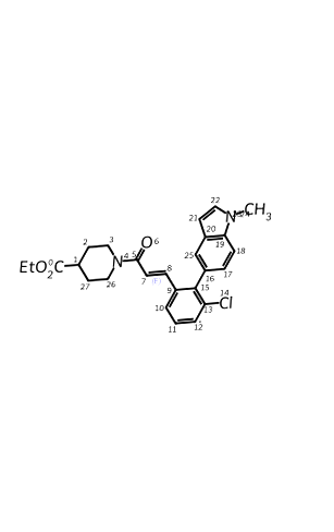 CCOC(=O)C1CCN(C(=O)/C=C/c2cc[c]c(Cl)c2-c2ccc3c(ccn3C)c2)CC1